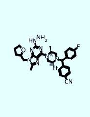 CC[C@@H]1CN(c2nc(NN)nc3c2nc(C)n3CC2CCCO2)[C@@H](C)CN1C(c1ccc(F)cc1)c1ccc(C#N)cc1